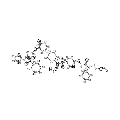 C=CCN(C(=O)CSc1ccc(S(=O)(=O)N(C)C2CCC(c3ccc(C(C)=O)c(OCCN(c4nccs4)S(=O)(=O)c4ccccc4)c3)CC2)cn1)c1ccccc1